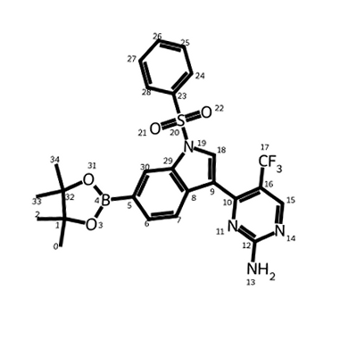 CC1(C)OB(c2ccc3c(-c4nc(N)ncc4C(F)(F)F)cn(S(=O)(=O)c4ccccc4)c3c2)OC1(C)C